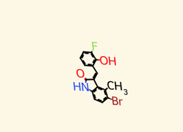 Cc1c(Br)ccc2c1C(=Cc1cccc(F)c1O)C(=O)N2